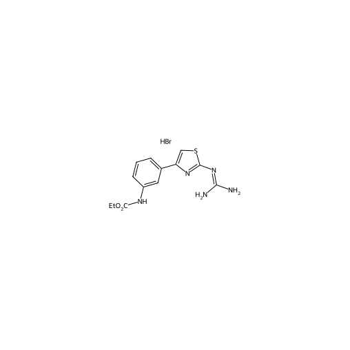 Br.CCOC(=O)Nc1cccc(-c2csc(N=C(N)N)n2)c1